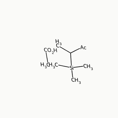 CC(=O)C(C)[Si](C)(C)C.CC(=O)O